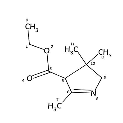 CCOC(=O)C1C(C)=NCC1(C)C